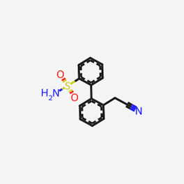 N#CCc1ccccc1-c1ccccc1S(N)(=O)=O